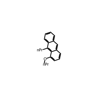 CCCOc1cccc2cc3ccccc3c(CCC)c12